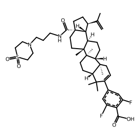 C=C(C)[C@@H]1CC[C@]2(C(=O)NCCCN3CCS(=O)(=O)CC3)CC[C@]3(C)[C@H](CC[C@@H]4[C@@]5(C)CC=C(c6cc(F)c(C(=O)O)c(F)c6)C(C)(C)[C@@H]5CC[C@]43C)[C@@H]12